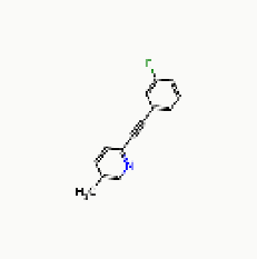 Cc1ccc(C#Cc2cccc(F)c2)nc1